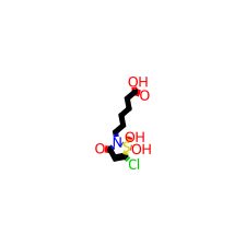 O=C(O)CCCCCN1C(=O)C=C(Cl)S1(O)O